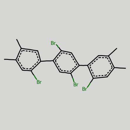 Cc1cc(Br)c(-c2cc(Br)c(-c3cc(C)c(C)cc3Br)cc2Br)cc1C